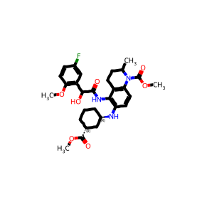 COC(=O)[C@@H]1CCC[C@@H](Nc2ccc3c(c2NC(=O)C(O)c2cc(F)ccc2OC)CCC(C)N3C(=O)OC)C1